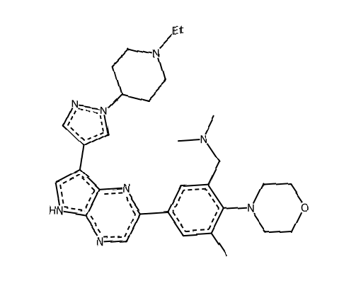 CCN1CCC(n2cc(-c3c[nH]c4ncc(-c5cc(C)c(N6CCOCC6)c(CN(C)C)c5)nc34)cn2)CC1